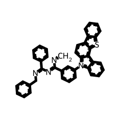 C=N/C(=N\C(=N/Cc1ccccc1)c1ccccc1)c1cccc(-n2c3ccccc3c3c4sc5ccccc5c4ccc32)c1